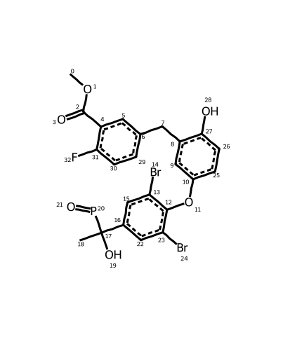 COC(=O)c1cc(Cc2cc(Oc3c(Br)cc(C(C)(O)P=O)cc3Br)ccc2O)ccc1F